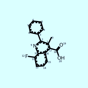 Cc1c(-c2ccccc2)nc2c(F)cccc2c1C(=O)O